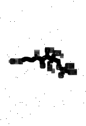 CC(C)(COP(=O)(O)O)C(O)C(=O)NCC[C]=O